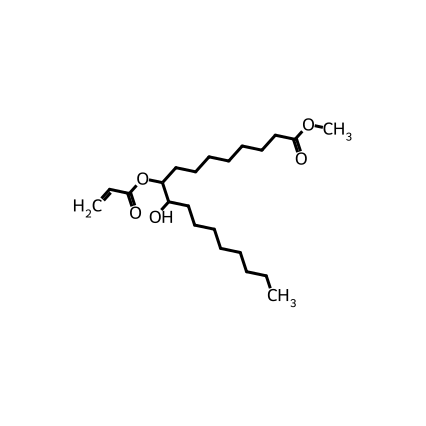 C=CC(=O)OC(CCCCCCCC(=O)OC)C(O)CCCCCCCC